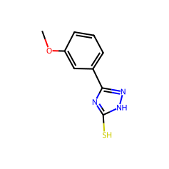 COc1cccc(-c2n[nH]c(S)n2)c1